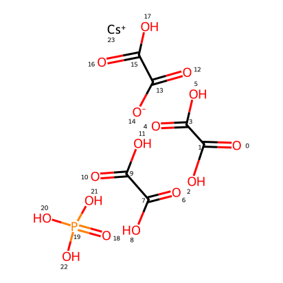 O=C(O)C(=O)O.O=C(O)C(=O)O.O=C([O-])C(=O)O.O=P(O)(O)O.[Cs+]